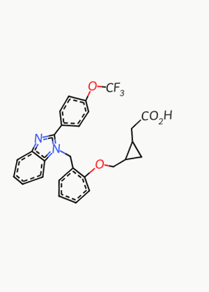 O=C(O)CC1CC1COc1ccccc1Cn1c(-c2ccc(OC(F)(F)F)cc2)nc2ccccc21